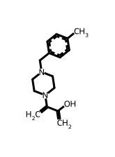 C=C(O)C(=C)N1CCN(Cc2ccc(C)cc2)CC1